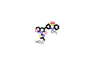 CN1c2ccccc2S(=O)(=O)c2ccc(C(CC3CCOCC3)C(=O)Nc3nc(CC(=O)O)cs3)cc21